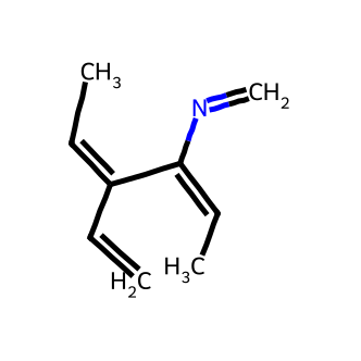 C=CC(=C/C)/C(=C\C)N=C